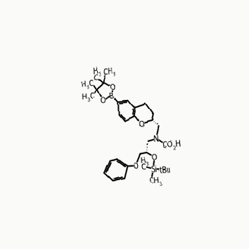 CC1(C)OB(c2ccc3c(c2)CC[C@H](CN(C[C@@H](COc2ccccc2)O[Si](C)(C)C(C)(C)C)C(=O)O)O3)OC1(C)C